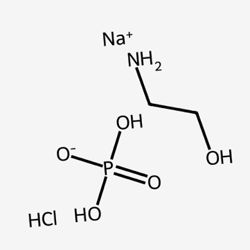 Cl.NCCO.O=P([O-])(O)O.[Na+]